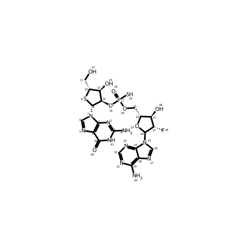 Nc1nc2c(ncn2[C@@H]2S[C@H](CO)[C@@H](O)[C@H]2OP(=O)(S)OC[C@H]2OC(n3cnc4c(N)ncnc43)[C@@H](F)[C@@H]2O)c(=O)[nH]1